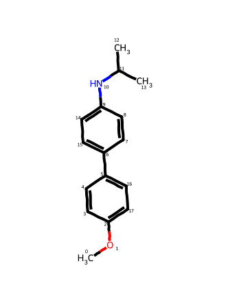 COc1ccc(-c2ccc(NC(C)C)cc2)cc1